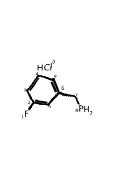 Cl.Fc1cccc(CP)c1